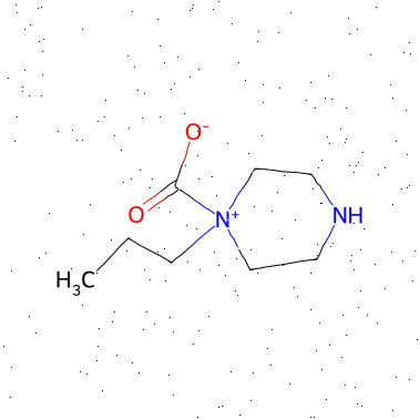 CCC[N+]1(C(=O)[O-])CCNCC1